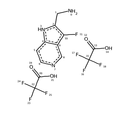 NCc1[nH]c2ccncc2c1F.O=C(O)C(F)(F)F.O=C(O)C(F)(F)F